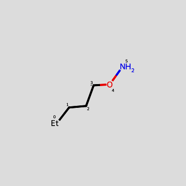 CCCC[CH]ON